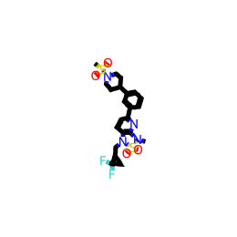 CN1c2nc(-c3cccc(C4CCN(S(C)(=O)=O)CC4)c3)ccc2N(CC2CC2(F)F)S1(=O)=O